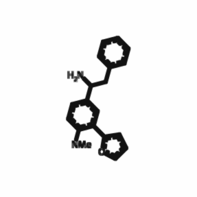 CNc1ccc(C(N)Cc2ccccc2)cc1-c1ccco1